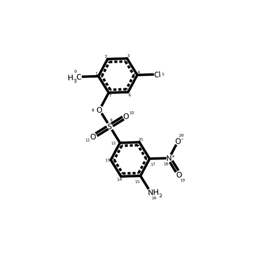 Cc1ccc(Cl)cc1OS(=O)(=O)c1ccc(N)c([N+](=O)[O-])c1